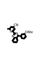 COc1cccc(-c2nc(-c3cc(C#N)cc(C)n3)nc3ccccc23)c1